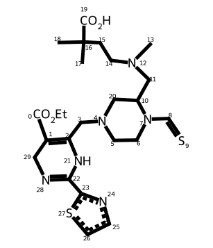 CCOC(=O)C1=C(CN2CCN(C=S)C(CN(C)CCC(C)(C)C(=O)O)C2)NC(c2nccs2)=NC1